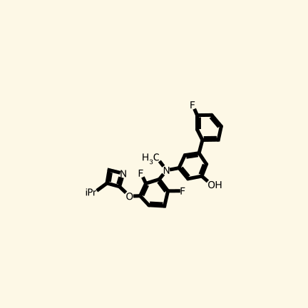 CC(C)C1=CN=C1Oc1ccc(F)c(N(C)c2cc(O)cc(-c3cccc(F)c3)c2)c1F